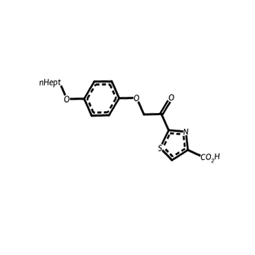 CCCCCCCOc1ccc(OCC(=O)c2nc(C(=O)O)cs2)cc1